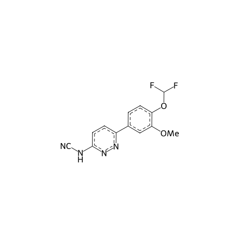 COc1cc(-c2ccc(NC#N)nn2)ccc1OC(F)F